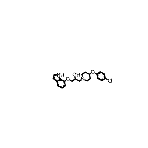 OC(COc1cccc2cc[nH]c12)CN1CCC(Oc2ccc(Cl)cc2)CC1